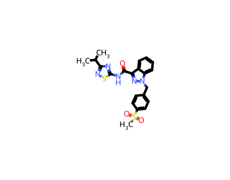 CC(C)c1nsc(NC(=O)c2nn(Cc3ccc(S(C)(=O)=O)cc3)c3ccccc23)n1